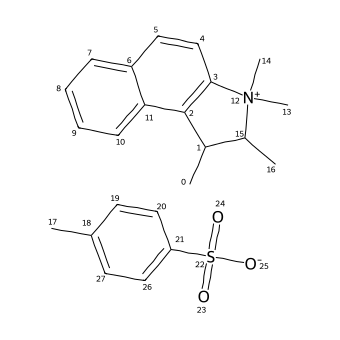 CC1c2c(ccc3ccccc23)[N+](C)(C)C1C.Cc1ccc(S(=O)(=O)[O-])cc1